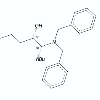 CCCC[C@H]([C@@H](O)CCF)N(Cc1ccccc1)Cc1ccccc1